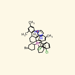 Cc1cc(C)c(C2CCCC(c3c(C)cc(C)cc3C)(P(=Cc3cccc(Cl)c3Cl)(C3CCCCC3)C3CCCCC3)C2=C2NCCN2)c(C)c1.[Ru]